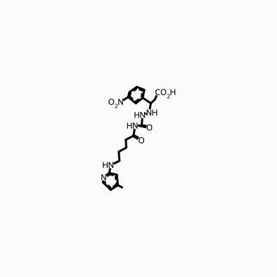 Cc1ccnc(NCCCCC(=O)NC(=O)NNC(CC(=O)O)c2cccc([N+](=O)[O-])c2)c1